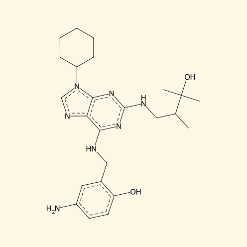 CC(CNc1nc(NCc2cc(N)ccc2O)c2ncn(C3CCCCC3)c2n1)C(C)(C)O